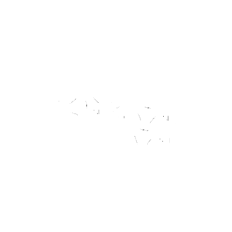 Cc1ccc(N)cc1.Cc1ccc(N)cc1.O=P(O)(O)Oc1cc2c(Cl)c(Br)ccc2[nH]1